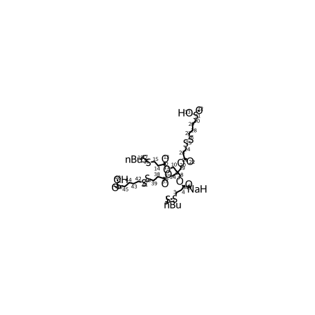 CCCCSSCCC(=O)OCC(COC(=O)CCSSCCCC)(COC(=O)CCSSCCCCS(=O)O)COC(=O)CCSSCCCCS(=O)O.[NaH]